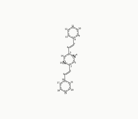 C(=Cc1cnc(C=Cc2ccccc2)cn1)c1ccccc1